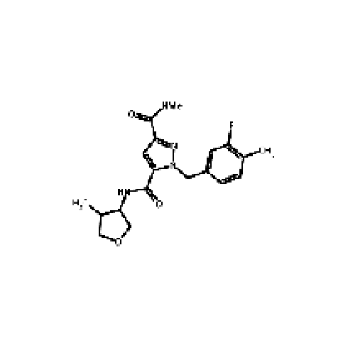 CNC(=O)c1cc(C(=O)NC2COCC2C)n(Cc2ccc(C)c(F)c2)n1